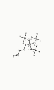 C=CCCC[Si](O[Si](C)(C)C)(O[Si](C)(C)C)O[Si](C)(C)C